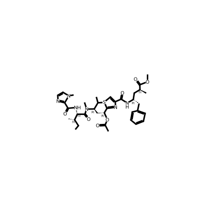 CC[C@H](C)[C@H](NC(=O)c1nccn1C)C(=O)N(C)[C@H](C[C@@H](OC(C)=O)c1nc(C(=O)N[C@@H](Cc2ccccc2)C[C@H](C)C(=O)OC)cs1)C(C)C